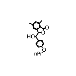 CCCOc1ccc(C(O)C2OC(=O)c3c(C)cc(C)cc32)cc1